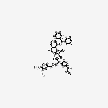 C=CC1=C(C(=O)OC(c2ccccc2)c2ccccc2)N2C(=O)C(NC(=O)/C(=N\OCC(=O)OC(C)(C)C)c3csc(NC=O)n3)[C@H]2SC1